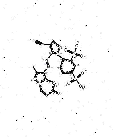 Cc1nn2ccc(=O)[nH]c2c1/N=N/c1c(C#N)cnn1-c1ccc(S(=O)(=O)O)cc1S(=O)(=O)O